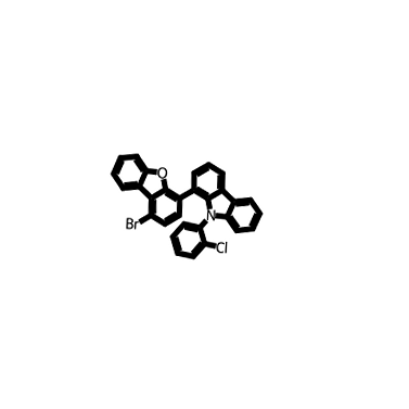 Clc1ccccc1-n1c2ccccc2c2cccc(-c3ccc(Br)c4c3oc3ccccc34)c21